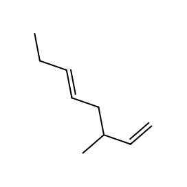 C=CC(C)CC=CCC